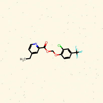 CCc1ccnc(C(=O)OCOc2ccc(C(F)(F)F)cc2Cl)c1